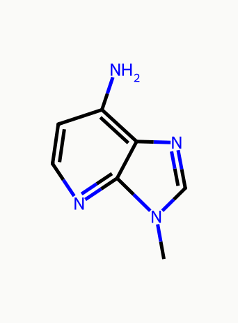 Cn1cnc2c(N)ccnc21